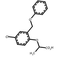 CC(Oc1ccc(Cl)cc1COc1ccccc1)C(=O)O